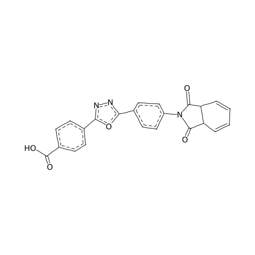 O=C(O)c1ccc(-c2nnc(-c3ccc(N4C(=O)C5C=CC=CC5C4=O)cc3)o2)cc1